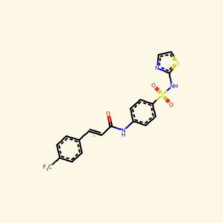 O=C(/C=C/c1ccc(C(F)(F)F)cc1)Nc1ccc(S(=O)(=O)Nc2nccs2)cc1